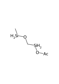 C[SiH2]OC[SiH2]OC(C)=O